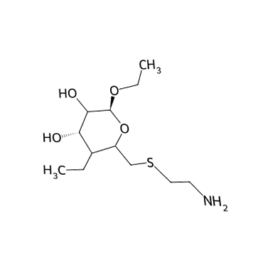 CCO[C@H]1OC(CSCCN)C(CC)[C@H](O)C1O